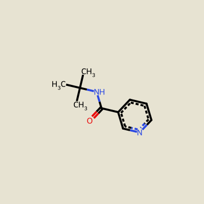 CC(C)(C)NC(=O)c1cccnc1